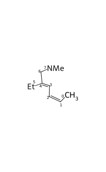 C/C=C\C=C(/CC)CNC